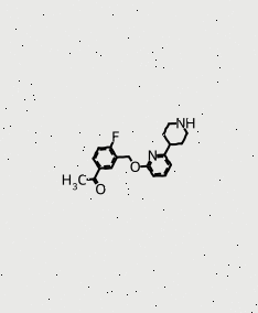 CC(=O)c1ccc(F)c(COc2cccc(C3CCNCC3)n2)c1